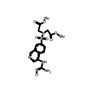 CC(C)(C)OC(=O)CN(CC(=O)OC(C)(C)C)S(=O)(=O)c1ccc2c(NC(N)=NCl)cncc2c1